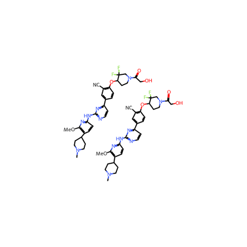 COc1nc(Nc2nccc(-c3ccc(OC4CCN(C(=O)CO)CC4(F)F)c(C#N)c3)n2)ccc1C1CCN(C)CC1.COc1nc(Nc2nccc(-c3ccc(OC4CCN(C(=O)CO)CC4(F)F)c(C#N)c3)n2)ccc1C1CCN(C)CC1